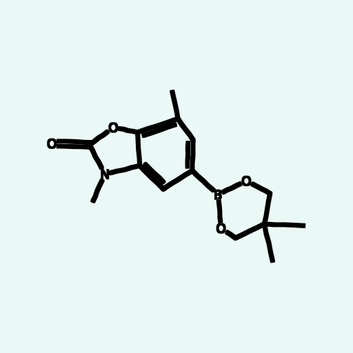 Cc1cc(B2OCC(C)(C)CO2)cc2c1oc(=O)n2C